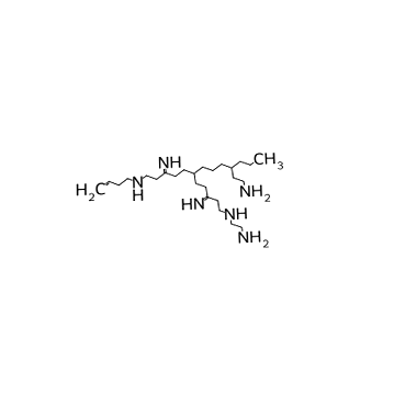 C=CCCNCCC(=N)CCC(CCCC(CCC)CCN)CCC(=N)CCNCCN